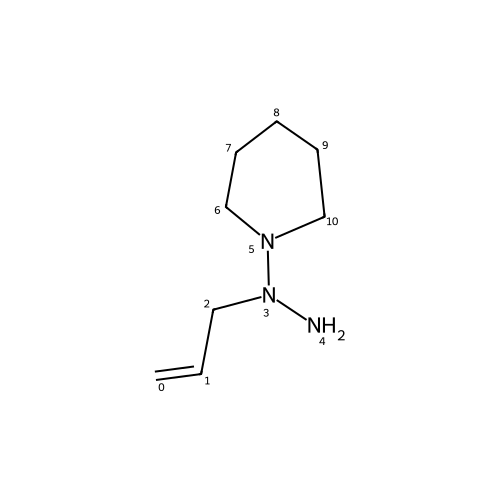 C=CCN(N)N1CCCCC1